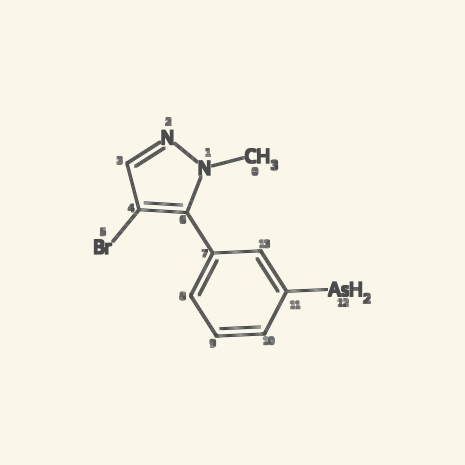 Cn1ncc(Br)c1-c1cccc([AsH2])c1